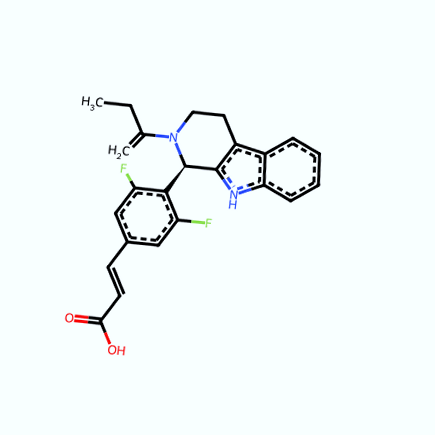 C=C(CC)N1CCc2c([nH]c3ccccc23)[C@H]1c1c(F)cc(/C=C/C(=O)O)cc1F